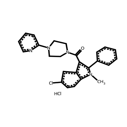 Cl.Cn1c(-c2ccccc2)c(C(=O)N2CCN(c3ccccn3)CC2)c2cc(Cl)ccc21